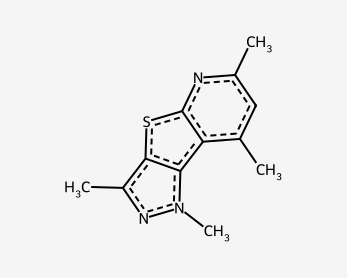 Cc1cc(C)c2c(n1)sc1c(C)nn(C)c12